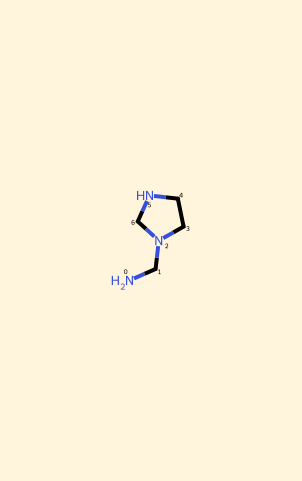 NCN1CCNC1